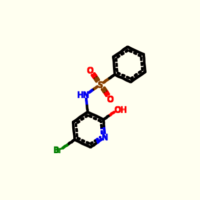 O=S(=O)(Nc1cc(Br)cnc1O)c1ccccc1